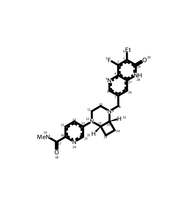 CCc1c(F)c2ncc(CN3CCN(c4ccc(C(=O)NC)nc4)[C@H]4CC[C@H]43)cc2[nH]c1=O